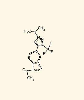 CC(=O)c1cnn2cc(-c3cn(C(C)C)nc3C(F)(F)F)ccc12